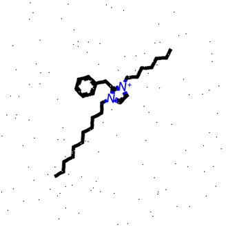 CCCCCCCCCCCn1cc[n+](CCCCCCC)c1Cc1ccccc1